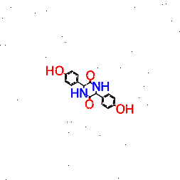 O=C1NC(c2ccc(O)cc2)C(=O)NC1c1ccc(O)cc1